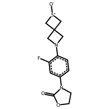 O=C1OCCN1c1ccc(N2CC3(C2)C[S+]([O-])C3)c(F)c1